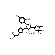 Cc1c(C2=NC(=S)C(C)(C)N2C)nn(-c2ccc(Cl)cc2Cl)c1-c1ccc(CC(C)C)s1